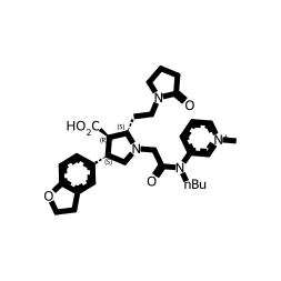 CCCCN(C(=O)CN1C[C@H](c2ccc3c(c2)CCO3)[C@@H](C(=O)O)[C@@H]1CCN1CCCC1=O)c1ccc[n+](C)c1